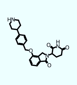 O=C1CCC(N2Cc3c(OCc4ccc(C5CCNCC5)cc4)cccc3C2=O)C(=O)N1